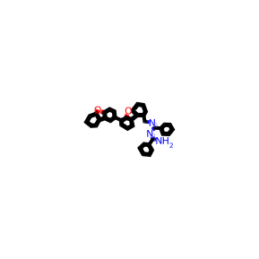 N/C(=N\C(=N/Cc1cccc2oc3c(-c4ccc5oc6ccccc6c5c4)cccc3c12)c1ccccc1)c1ccccc1